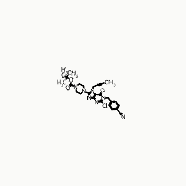 CC#CCn1c(N2CCN(C(=O)OC(C)(C)C)CC2)nc2nc(Cl)n(Cc3ccc(C#N)cc3)c(=O)c21